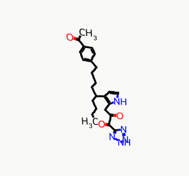 CCCCC(CCCCc1ccc(C(C)=O)cc1)c1cc[nH]c1CC(=O)C(=O)c1nn[nH]n1